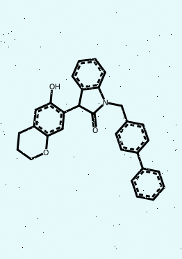 O=C1C(c2cc3c(cc2O)CCCO3)c2ccccc2N1Cc1ccc(-c2ccccc2)cc1